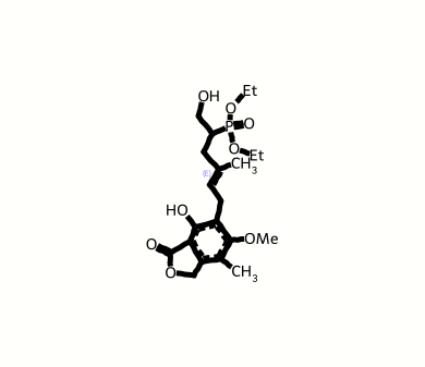 CCOP(=O)(OCC)C(CO)C/C(C)=C/Cc1c(O)c2c(c(C)c1OC)COC2=O